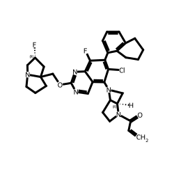 C=CC(=O)N1CCC2[C@H]1CN2c1c(Cl)c(-c2cccc3c2CCCC3)c(F)c2nc(OCC34CCCN3C[C@H](F)C4)ncc12